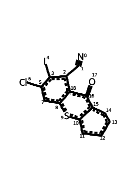 N#Cc1c(I)c(Cl)cc2sc3ccccc3c(=O)c12